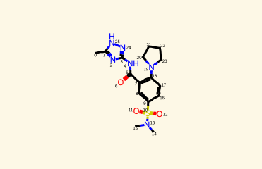 Cc1nc(NC(=O)c2cc(S(=O)(=O)N(C)C)ccc2N2CCCC2)n[nH]1